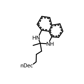 CCCCCCCCCCCCCC1(C)Nc2cccc3cccc(c23)N1